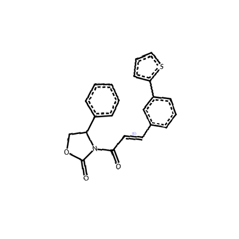 O=C(/C=C/c1cccc(-c2cccs2)c1)N1C(=O)OCC1c1ccccc1